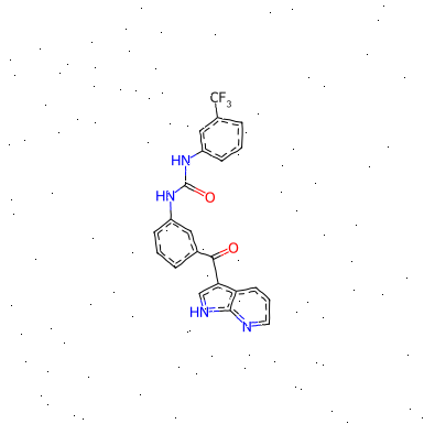 O=C(Nc1cccc(C(=O)c2c[nH]c3ncccc23)c1)Nc1cccc(C(F)(F)F)c1